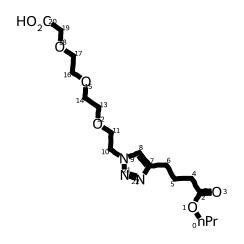 CCCOC(=O)CCCc1cn(CCOCCOCCOCC(=O)O)nn1